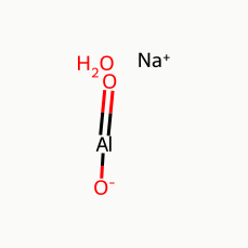 O.[Na+].[O]=[Al][O-]